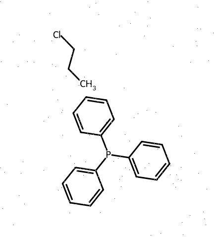 CCCCl.c1ccc(P(c2ccccc2)c2ccccc2)cc1